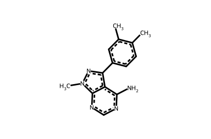 Cc1ccc(-c2nn(C)c3ncnc(N)c23)cc1C